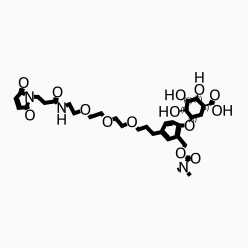 CN(C)C(=O)OCc1cc(CCCOCCOCCOCCNC(=O)CCN2C(=O)C=CC2=O)ccc1O[C@@H]1C[C@H](C(=O)O)[C@@H](O)[C@H](O)[C@H]1O